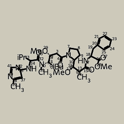 CC[C@H](C)[C@@H]([C@@H](CC(=O)N1CCCC1[C@H](OC)[C@@H](C)C(=O)NC(Cc1ccccc1)C(=O)OC)OC)N(C)C(=O)C(Nc1cc(C)ncn1)C(C)C